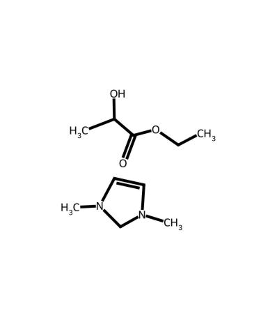 CCOC(=O)C(C)O.CN1C=CN(C)C1